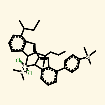 CCCC(C)C1=Cc2c(C(C)CC)cccc2[CH]1[Zr]([Cl])([Cl])([CH]1C(C)=Cc2c(-c3ccc([Si](C)(C)C)cc3)cccc21)[SiH](C)C